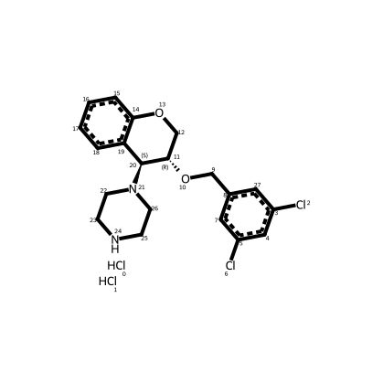 Cl.Cl.Clc1cc(Cl)cc(CO[C@H]2COc3ccccc3[C@@H]2N2CCNCC2)c1